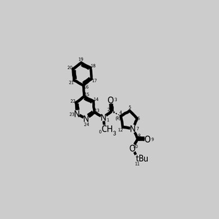 CN(C(=O)[C@@H]1CCN(C(=O)OC(C)(C)C)C1)c1cc(-c2ccccc2)cnn1